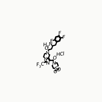 Cl.NC(CC(=O)N1CCn2c(C(F)(F)F)nc(C(=O)N3CCS(=O)(=O)CC3)c2C1)Cc1cc(F)c(F)cc1F